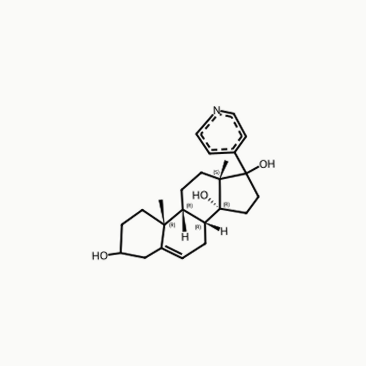 C[C@]12CCC(O)CC1=CC[C@@H]1[C@H]2CC[C@]2(C)C(O)(c3ccncc3)CC[C@@]12O